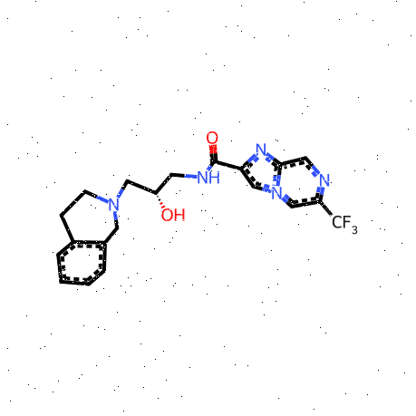 O=C(NC[C@H](O)CN1CCc2ccccc2C1)c1cn2cc(C(F)(F)F)ncc2n1